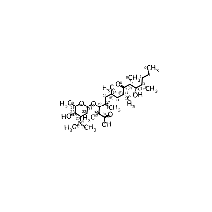 CCC[C@H](C)[C@H](O)[C@@H](C)C(=O)[C@H](C)C[C@H](C)C[C@@H](C)C(O[C@H]1CC(N(C)C)[C@H](O)C(C)O1)[C@@H](C)C(=O)O